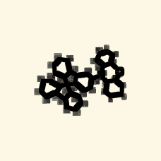 c1ccc2c(c1)Oc1ccccc1N2c1ccc2c(c1)-c1ccccc1C21c2ccccc2-c2ccccc21